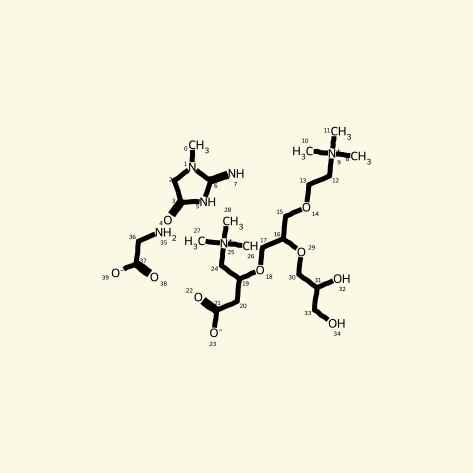 CN1CC(=O)NC1=N.C[N+](C)(C)CCOCC(COC(CC(=O)[O-])C[N+](C)(C)C)OCC(O)CO.NCC(=O)[O-]